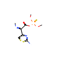 CCOP(=S)(OCC)OC(=O)/C(=N\OC(C)=O)c1csc(N)n1